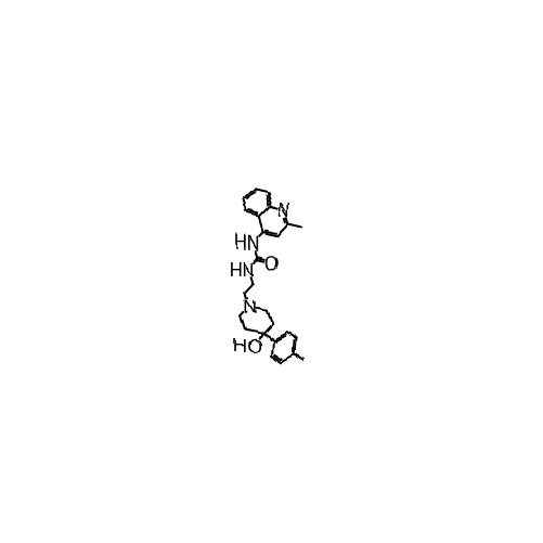 Cc1ccc(C2(O)CCN(CCNC(=O)Nc3cc(C)nc4ccccc34)CC2)cc1